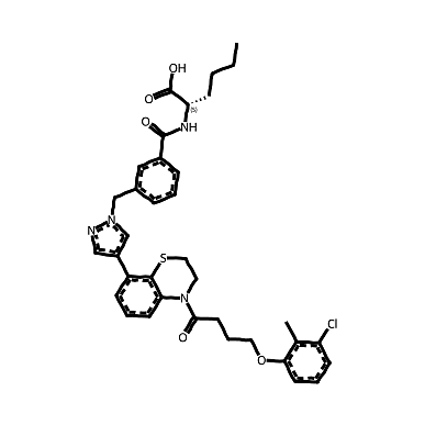 CCCC[C@H](NC(=O)c1cccc(Cn2cc(-c3cccc4c3SCCN4C(=O)CCCOc3cccc(Cl)c3C)cn2)c1)C(=O)O